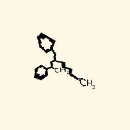 CC=CC=CC(=Cc1ccccc1)C=C(C)c1ccccc1